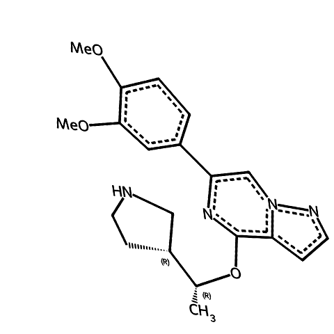 COc1ccc(-c2cn3nccc3c(O[C@H](C)[C@@H]3CCNC3)n2)cc1OC